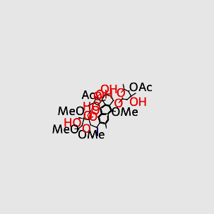 COC[C@@]1(C)C(O)(C(OC)OC)OC2C(I)c3c(C)cc4c(OC)c5c(c(O)c4c3O[C@]21OC1CC2C(O1)C(C)C2(O)C(C)=O)C(=O)[C@@H](O)C[C@@H]5OC1CC(C)(O)C(OC(C)=O)C(C)O1